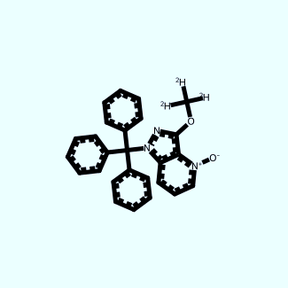 [2H]C([2H])([2H])Oc1nn(C(c2ccccc2)(c2ccccc2)c2ccccc2)c2ccc[n+]([O-])c12